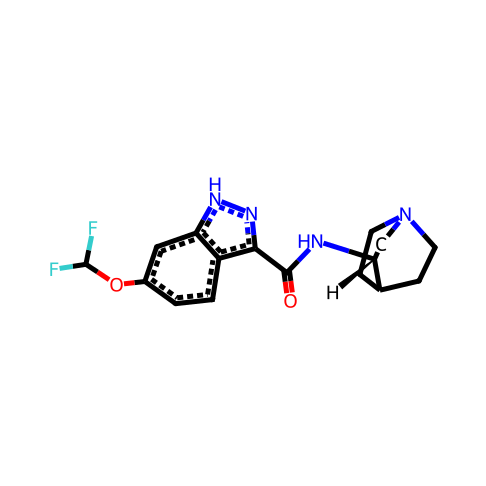 O=C(N[C@@H]1CN2CCC1CC2)c1n[nH]c2cc(OC(F)F)ccc12